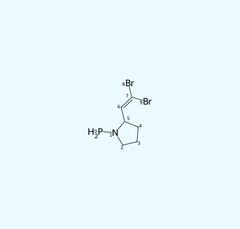 PN1CCCC1C=C(Br)Br